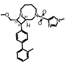 COC[C@@H]1[C@H](c2ccc(-c3ccccc3C)cc2)[C@@H]2CN(S(=O)(=O)c3cn(C)cn3)CCCCN12